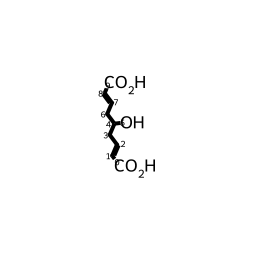 O=C(O)/C=C/CC(O)C/C=C/C(=O)O